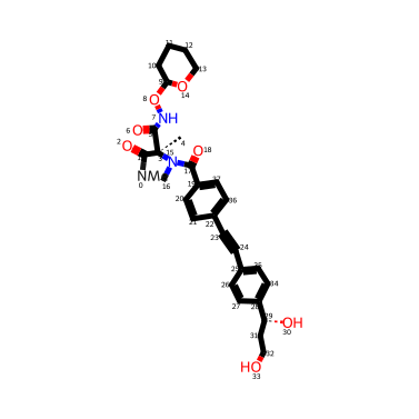 CNC(=O)[C@@](C)(C(=O)NOC1CCCCO1)N(C)C(=O)c1ccc(C#Cc2ccc([C@H](O)CCO)cc2)cc1